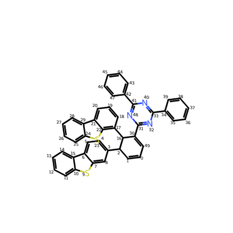 C1=CC(c2ccc3c(c2)sc2ccccc23)C(c2cccc3c2sc2ccccc23)C(c2nc(-c3ccccc3)nc(-c3ccccc3)n2)=C1